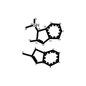 CC1=Cc2ccccc2C1.CC1=Cc2ccccc2C1[SiH](C)C